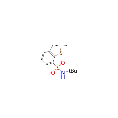 CC(C)(C)NS(=O)(=O)c1cccc2c1SC(C)(C)C2